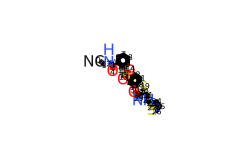 N#CCNC(=O)[C@H]1CCCC[C@@H]1CS(=O)(=O)c1ccc(SC(CCc2cccs2)C(N)=O)cc1